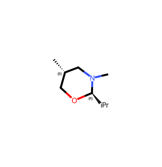 CC(C)[C@H]1OC[C@H](C)CN1C